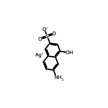 Nc1ccc2cc(S(=O)(=O)[O-])cc(O)c2c1.[Ag+]